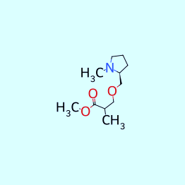 COC(=O)C(C)COC[C@@H]1CCCN1C